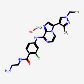 N#CCn1cc(-c2cnc3c(Nc4ccc(C(=O)NCCN)c(Cl)c4)nccn23)c(C(F)(F)F)n1.O=CO